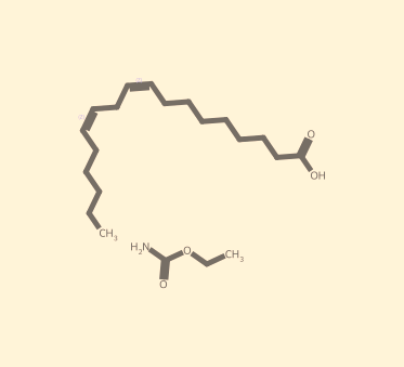 CCCCC/C=C\C/C=C\CCCCCCCC(=O)O.CCOC(N)=O